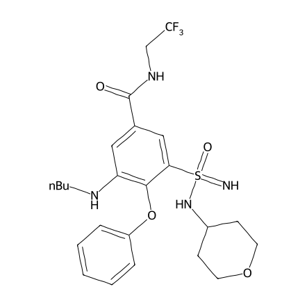 CCCCNc1cc(C(=O)NCC(F)(F)F)cc(S(=N)(=O)NC2CCOCC2)c1Oc1ccccc1